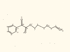 C=CCOCCCOC(=O)C(=O)c1ccccc1